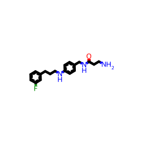 NCCC(=O)NCc1ccc(NCCCc2cccc(F)c2)cc1